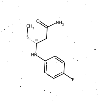 CC[C@H](CC(N)=O)Nc1ccc(F)cc1